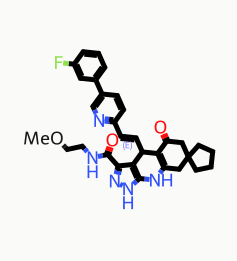 COCCNC(=O)c1n[nH]c2c1C(/C=C/c1ccc(-c3cccc(F)c3)cn1)C1=C(CC3(CCCC3)CC1=O)N2